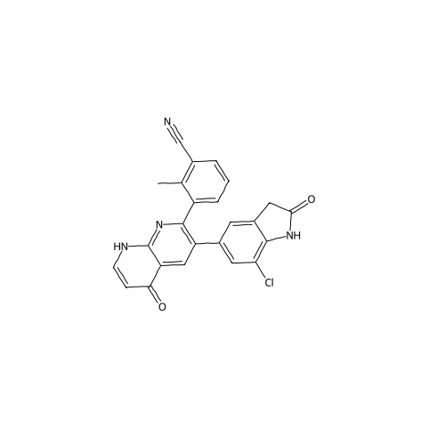 Cc1c(C#N)cccc1-c1nc2[nH]ccc(=O)c2cc1-c1cc(Cl)c2c(c1)CC(=O)N2